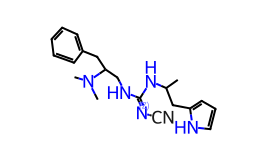 CC(Cc1ccc[nH]1)N/C(=N\C#N)NCC(Cc1ccccc1)N(C)C